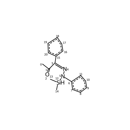 CC(=O)C(=NN(c1ccccc1)[SiH](C)C)c1ccccc1